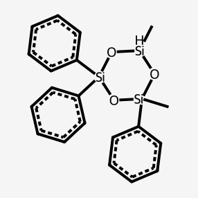 C[SiH]1O[Si](C)(c2ccccc2)O[Si](c2ccccc2)(c2ccccc2)O1